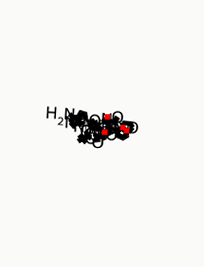 C[C@H](N[P@@](=O)(Oc1ccccc1)OC1[C@@]2(C#N)O[C@@H](c3ccc4c(N)ncnn34)[C@H](OC(=O)C(C)(C)C)[C@@]12OC(=O)C(C)(C)C)C(=O)OC1CCOCC1